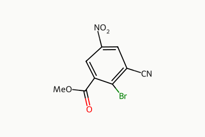 COC(=O)c1cc([N+](=O)[O-])cc(C#N)c1Br